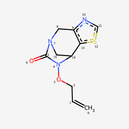 C=CCON1C(=O)N2Cc3ncsc3C1C2